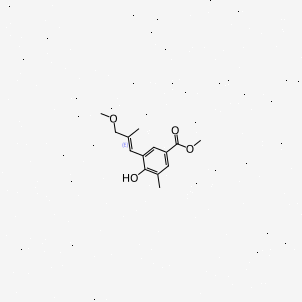 COC/C(C)=C/c1cc(C(=O)OC)cc(C)c1O